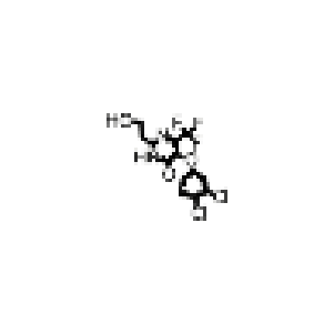 O=c1[nH]c(CCO)nc(C(F)(F)F)c1Oc1ccc(Cl)c(Cl)c1